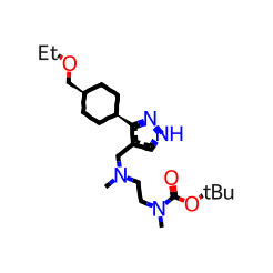 CCOC[C@H]1CC[C@@H](c2n[nH]cc2CN(C)CCN(C)C(=O)OC(C)(C)C)CC1